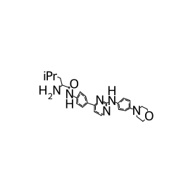 CC(C)C[C@H](N)C(=O)Nc1ccc(-c2ccnc(Nc3ccc(N4CCOCC4)cc3)n2)cc1